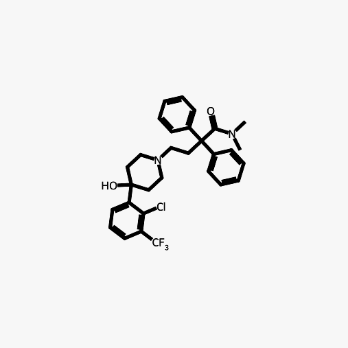 CN(C)C(=O)C(CCN1CCC(O)(c2cccc(C(F)(F)F)c2Cl)CC1)(c1ccccc1)c1ccccc1